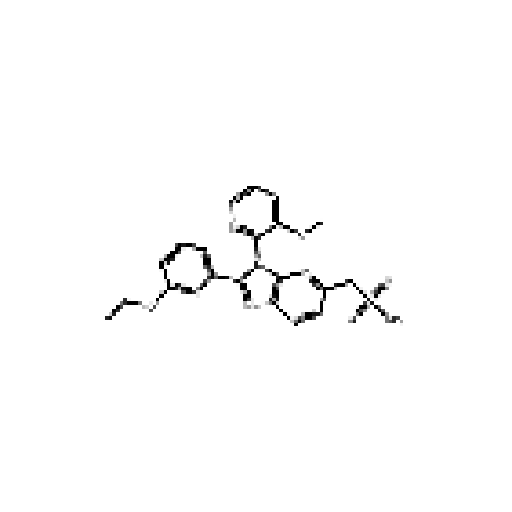 CCOc1cccc(-c2nc3ncc(CS(N)(=O)=O)nc3n2-c2ncccc2OC)n1